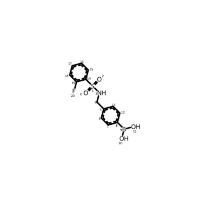 O=S(=O)(NCc1ccc(B(O)O)cc1)c1ccccc1F